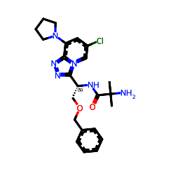 CC(C)(N)C(=O)N[C@H](COCc1ccccc1)c1nnc2c(N3CCCC3)cc(Cl)cn12